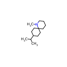 CC(C)C1CCC2(CCCCN2C)CC1